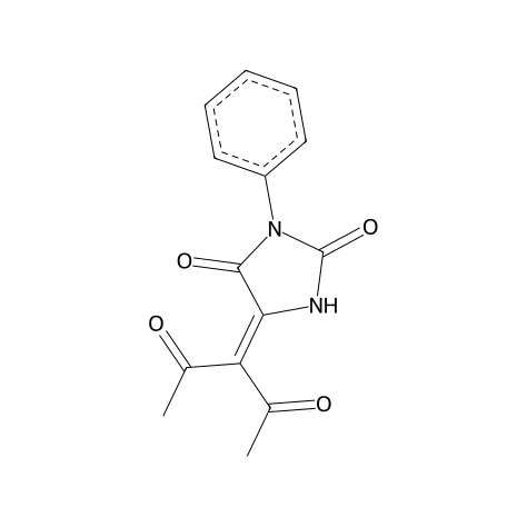 CC(=O)C(C(C)=O)=C1NC(=O)N(c2ccccc2)C1=O